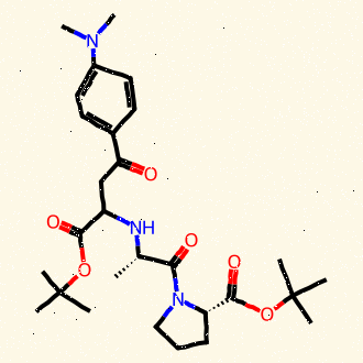 C[C@H](NC(CC(=O)c1ccc(N(C)C)cc1)C(=O)OC(C)(C)C)C(=O)N1CCC[C@H]1C(=O)OC(C)(C)C